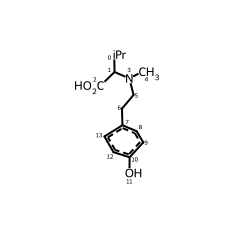 CC(C)C(C(=O)O)N(C)CCc1ccc(O)cc1